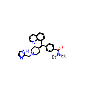 CCN(CC)C(=O)c1ccc(C(=C2CCN(Cc3ncc[nH]3)CC2)c2cccc3cccnc23)cc1